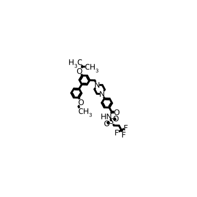 CCOc1cccc(-c2cc(CN3CCN(c4ccc(C(=O)NS(=O)(=O)CCC(F)(F)F)cc4)CC3)cc(OC(C)C)c2)c1